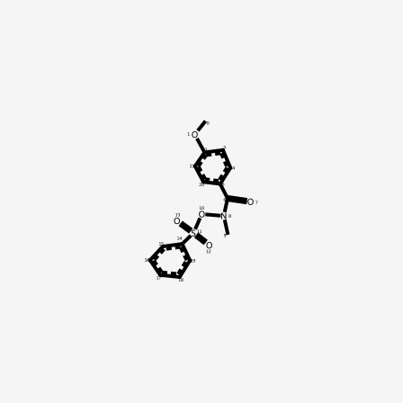 COc1ccc(C(=O)N(C)OS(=O)(=O)c2ccccc2)cc1